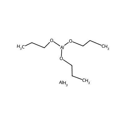 CCC[O][Al]([O]CCC)[O]CCC.[AlH3]